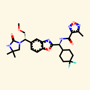 COC[C@H](c1ccc2oc([C@@H](NC(=O)c3nonc3C)C3CCC(F)(F)CC3)nc2c1)N1CC(C)(C)NC1=O